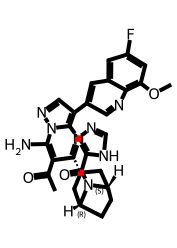 COc1cc(F)cc2cc(-c3cnn4c(N)c(C(C)=O)c([C@H]5C[C@H]6CC[C@@H](C5)N6C(=O)c5nnc[nH]5)nc34)cnc12